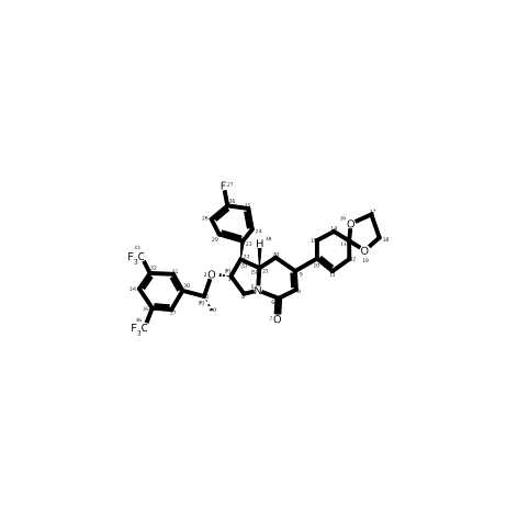 C[C@@H](O[C@H]1CN2C(=O)C=C(C3=CCC4(CC3)OCCO4)C[C@H]2[C@@H]1c1ccc(F)cc1)c1cc(C(F)(F)F)cc(C(F)(F)F)c1